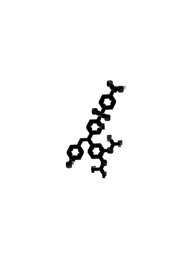 O=[N+]([O-])c1ccc(S(=O)(=O)c2ccc(C(Cc3cc[n+]([O-])cc3)c3ccc(OC(F)F)c(OC(F)F)c3)cn2)cc1